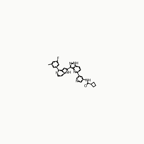 Cc1cc(F)cc(-c2nccc3[nH]c(-c4n[nH]c5ccc(-c6cncc(NC(=O)C7CCC7)c6)nc45)cc23)c1